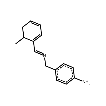 CC1CC=CC=C1/C=N/Cc1ccc(N)cc1